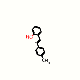 Cc1ccc([C]=Cc2ccccc2O)cc1